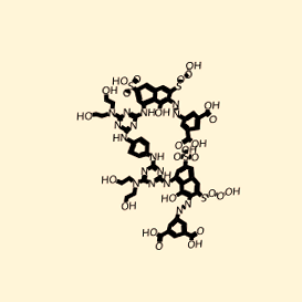 O=C(O)c1cc(N=Nc2c(SOOO)cc3cc(S(=O)(=O)O)cc(Nc4nc(Nc5ccc(Nc6nc(Nc7cc(S(=O)(=O)O)cc8cc(SOOO)c(N=Nc9cc(C(=O)O)cc(C(=O)O)c9)c(O)c78)nc(N(CCO)CCO)n6)cc5)nc(N(CCO)CCO)n4)c3c2O)cc(C(=O)O)c1